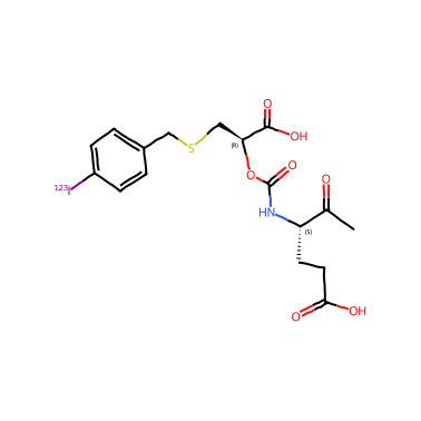 CC(=O)[C@H](CCC(=O)O)NC(=O)O[C@@H](CSCc1ccc([123I])cc1)C(=O)O